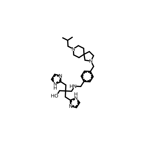 CC(C)CN1CCC2(CC1)CCN(Cc1ccc(CNCC(CO)(Cc3ncc[nH]3)Cc3ncc[nH]3)cc1)C2